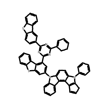 C1=CCCC(c2nc(-c3ccc4sc5ccccc5c4c3)nc(-c3cc(-n4c5ccccc5c5c6c7c(n(-c8ccccc8)c6ccc54)CC=C7)cc4sc5ccccc5c34)n2)=C1